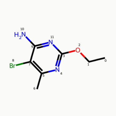 CCOc1nc(C)c(Br)c(N)n1